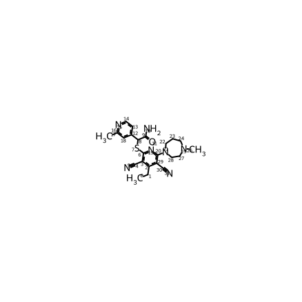 CCc1c(C#N)c(SC(C(N)=O)c2ccnc(C)c2)nc(N2CCCN(C)CC2)c1C#N